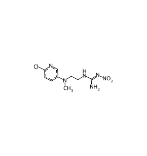 CN(CCN/C(N)=N/[N+](=O)[O-])c1ccc(Cl)nc1